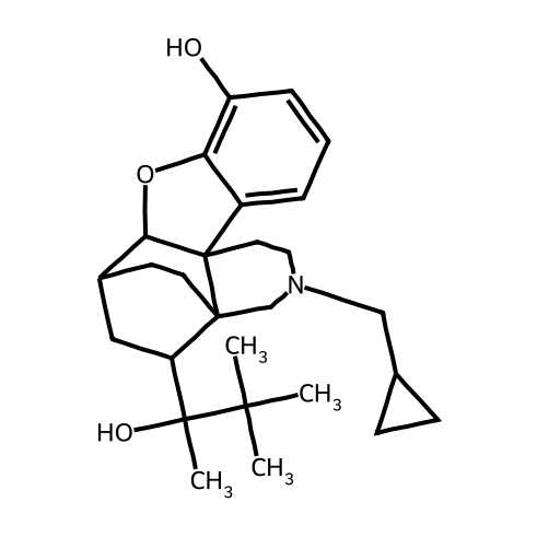 CC(C)(C)C(C)(O)C1CC2CCC13CN(CC1CC1)CCC31c3cccc(O)c3OC21